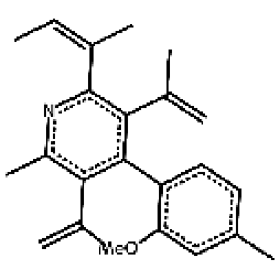 C=C(C)c1c(C)nc(/C(C)=C\C)c(C(=C)C)c1-c1ccc(C)cc1OC